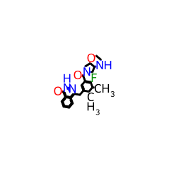 CC1C(Cc2n[nH]c(=O)c3ccccc23)=CC(C(=O)N2CC3NCCOC3C2)=C(F)C1C